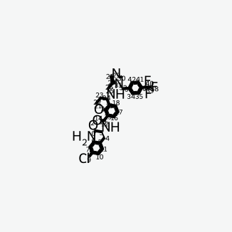 NC(=O)[C@H](Cc1ccc(Cl)cc1)NC(=O)c1cccc2c1OCCC2NCc1cncn1Cc1ccc(C(F)(F)F)cc1